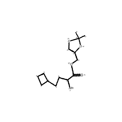 CCCC(CCC1CCC1)C(=O)OCC1COC(C)(C)O1